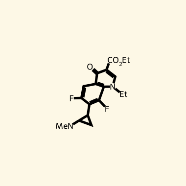 CCOC(=O)c1cn(CC)c2c(F)c(C3CC3NC)c(F)cc2c1=O